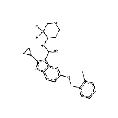 O=C(NC1CCNCC1(F)F)c1c(C2CC2)oc2ccc(OCc3ccccc3F)cc12